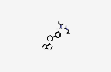 CC/C(C)=C(/N/C(C)=C\C(C)=O)Nc1cccc(C2CCCN(c3ncnc4[nH]ccc34)C2)c1